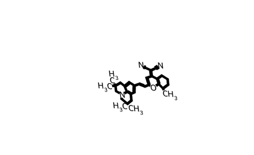 CC1CCCC2=C1OC(/C=C/c1cc3c4c(c1)CC(C)(C)CN4CC(C)(C)C3)=CC2=C(C#N)C#N